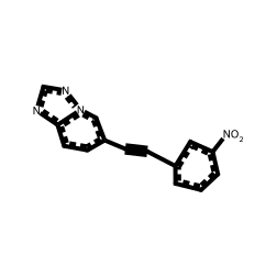 O=[N+]([O-])c1cccc(C#Cc2ccc3ncnn3c2)c1